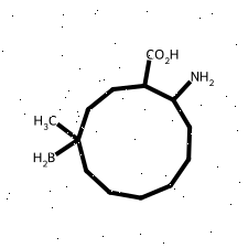 BC1(C)CCCCCCC(N)C(C(=O)O)CC1